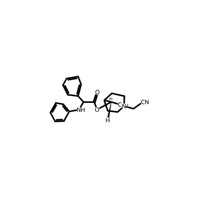 N#CC[N+]12CCC(CC1)[C@@H](OC(=O)C(Nc1ccccc1)c1ccccc1)C2